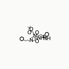 CC(C)(C)OC(=O)CCN1C(=O)C(Cc2c[nH]c3ccccc23)NC(=O)C12CCN(CCCc1ccccc1)CC2